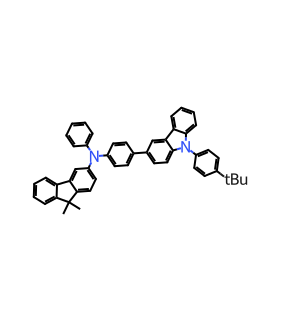 CC(C)(C)c1ccc(-n2c3ccccc3c3cc(-c4ccc(N(c5ccccc5)c5ccc6c(c5)-c5ccccc5C6(C)C)cc4)ccc32)cc1